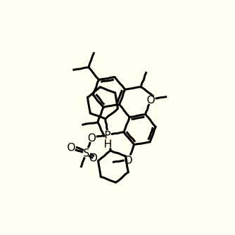 COc1ccc(OC)c([PH](OS(C)(=O)=O)(C2CCCCC2)C2CCCCC2)c1-c1c(C(C)C)cc(C(C)C)cc1C(C)C